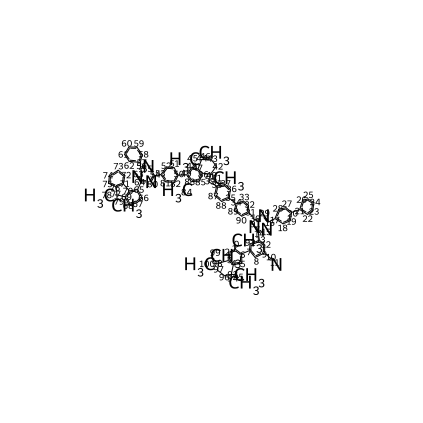 Cc1cc2c(cc1-c1cc(C#N)cc(-c3nc(-c4ccc(-c5ccccc5)cc4)nc(-c4ccc(-c5ccc(CC6(C)CCC(C)(C)c7cc(-c8ccc(-c9nc(-c%10ccccc%10)nc(-c%10cccc%11c%10-c%10ccccc%10C%11(C)C)n9)cc8)c(C)cc76)cc5)cc4)n3)c1)C(C)(C)CCC2(C)C